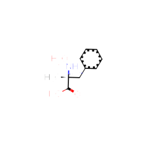 C[C@@](N)(Cc1ccccc1)C(=O)O.O